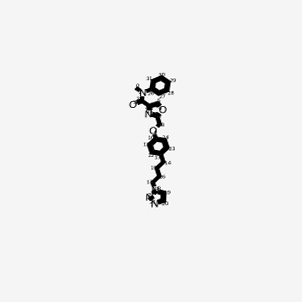 CN(C(=O)c1coc(COc2ccc(CCCCn3ccnn3)cc2)n1)c1ccccc1